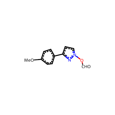 COc1ccc(-c2ccn(OC=O)n2)cc1